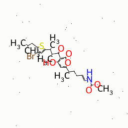 COC(=O)N/C=C/CCC(C)c1cc(O)c(C(=O)C(C)C(C)c2cc(Br)c(CC(C)C)s2)c(=O)o1